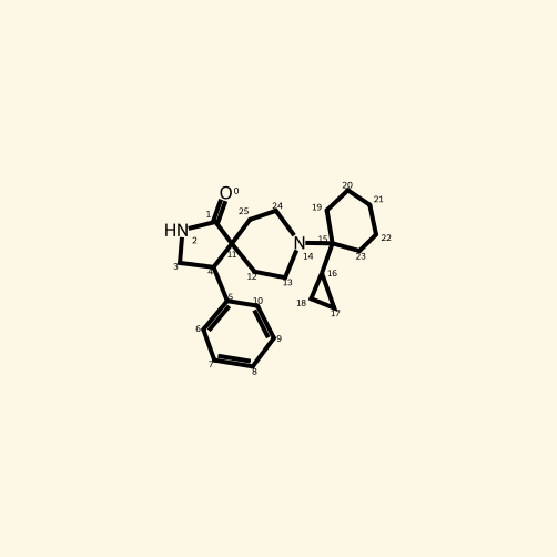 O=C1NCC(c2ccccc2)C12CCN(C1(C3CC3)CCCCC1)CC2